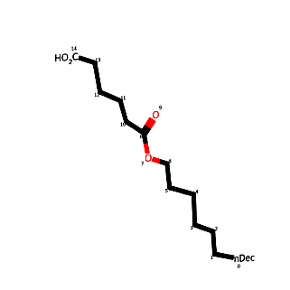 CCCCCCCCCCCCCCCCOC(=O)CCCCC(=O)O